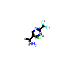 CC(N)c1cnc(C(F)F)nc1.Cl